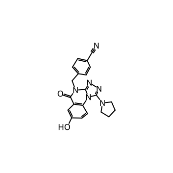 N#Cc1ccc(Cn2c(=O)c3cc(O)ccc3n3c(N4CCCC4)nnc23)cc1